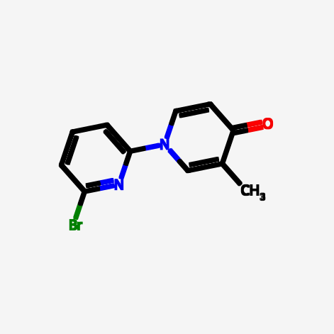 Cc1cn(-c2cccc(Br)n2)ccc1=O